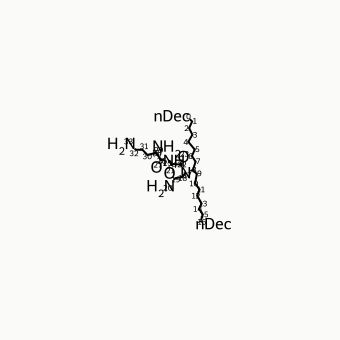 CCCCCCCCCCCCCCCCCC(CCCCCCCCCCCCCCCCC)N(CC(N)=O)C(=O)CNC(=O)[C@@H](N)CCCN